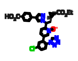 CCOC(=O)[C@@H]1C[C@H]1CC(c1ccc(-c2cc(Cl)ccc2-n2cnnn2)c[n+]1[O-])n1cc(-c2ccc(C(=O)O)cc2)cn1